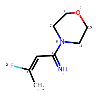 C/C(F)=C\C(=N)N1CCOCC1